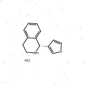 Cl.c1ccc2c(c1)CCN[C@H]2c1ccoc1